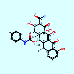 C[C@H]1c2cccc(O)c2C(=O)C2=C(O)[C@]3(O)C(=O)C(C(N)=O)C(O)C[C@@H]3[C@@H](OC(=O)Nc3ccccc3)[C@@H]21